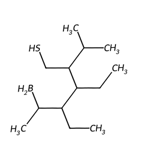 BC(C)C(CC)C(CC)C(CS)C(C)C